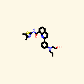 CCCN(CCO)c1cccc(-c2ccc3cccc(C(=O)Nc4nc(C)c(C)s4)c3n2)c1